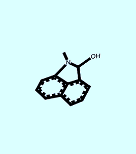 CN1c2cccc3cccc(c23)C1O